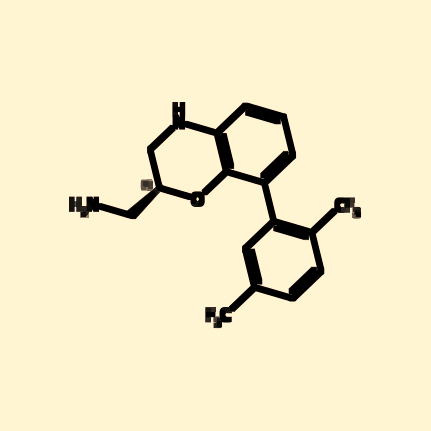 NC[C@H]1CNc2cccc(-c3cc(C(F)(F)F)ccc3C(F)(F)F)c2O1